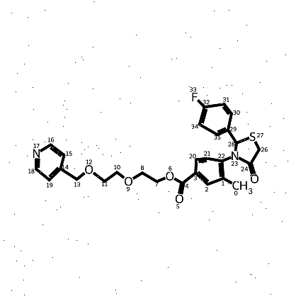 Cc1cc(C(=O)OCCOCCOCc2ccncc2)ccc1N1C(=O)CSC1c1ccc(F)cc1